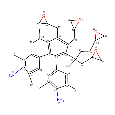 Cc1cc(-c2c(-c3cc(C)c(N)c(C)c3)c(C(C)(CCC3CO3)CC3CO3)c(CC3CO3)c(CC3CO3)c2C(C)C)cc(C)c1N